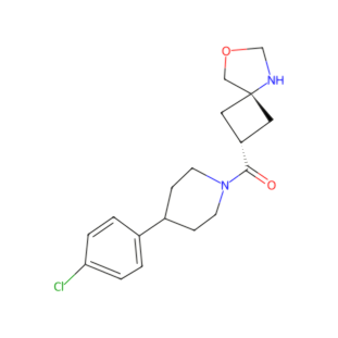 O=C([C@H]1C[C@]2(COCN2)C1)N1CCC(c2ccc(Cl)cc2)CC1